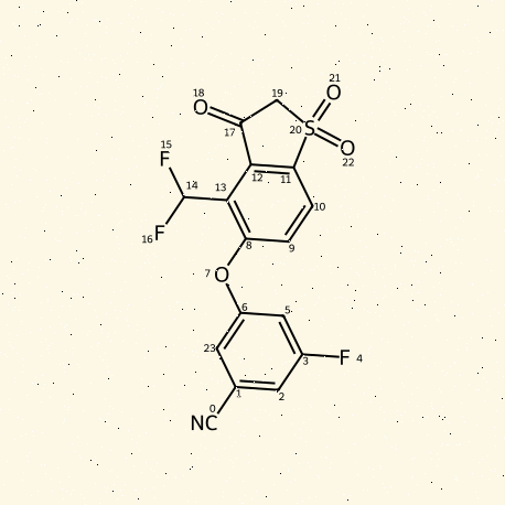 N#Cc1cc(F)cc(Oc2ccc3c(c2C(F)F)C(=O)CS3(=O)=O)c1